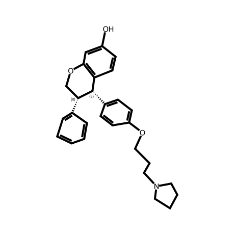 Oc1ccc2c(c1)OC[C@@H](c1ccccc1)[C@H]2c1ccc(OCCCN2CCCC2)cc1